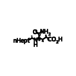 CCCCCCCCN[C@H](CCC(=O)O)C(N)=O